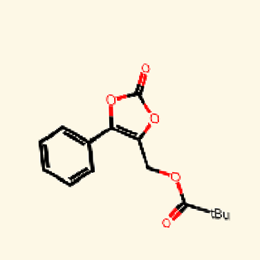 CC(C)(C)C(=O)OCc1oc(=O)oc1-c1ccccc1